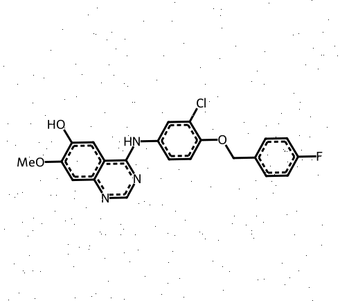 COc1cc2ncnc(Nc3ccc(OCc4ccc(F)cc4)c(Cl)c3)c2cc1O